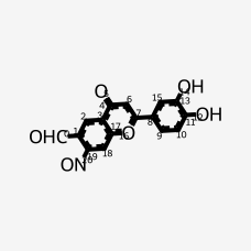 O=Cc1cc2c(=O)cc(-c3ccc(O)c(O)c3)oc2cc1N=O